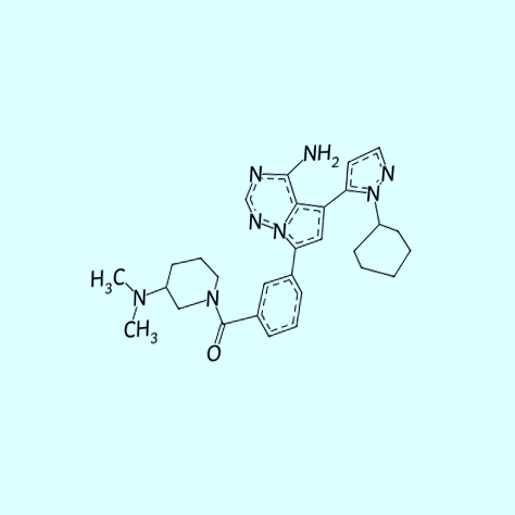 CN(C)C1CCCN(C(=O)c2cccc(-c3cc(-c4ccnn4C4CCCCC4)c4c(N)ncnn34)c2)C1